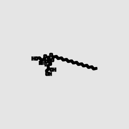 CCCCCCCCCCCCCCCCCC(=O)OP(=O)(OCC(O)CO)OC(=O)[C@@H](N)CO